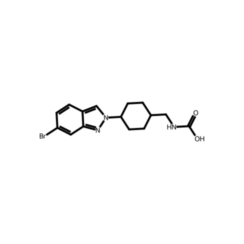 O=C(O)NCC1CCC(n2cc3ccc(Br)cc3n2)CC1